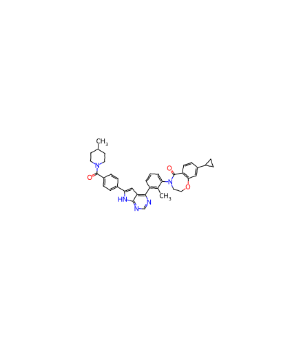 Cc1c(-c2ncnc3[nH]c(-c4ccc(C(=O)N5CCC(C)CC5)cc4)cc23)cccc1N1CCOc2cc(C3CC3)ccc2C1=O